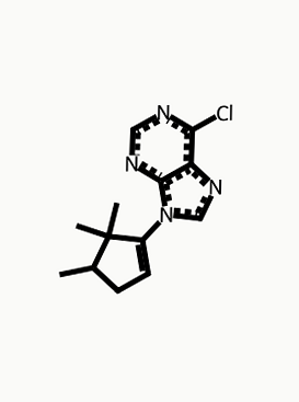 CC1CC=C(n2cnc3c(Cl)ncnc32)C1(C)C